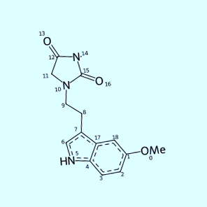 COc1ccc2[nH]cc(CCN3CC(=O)[N]C3=O)c2c1